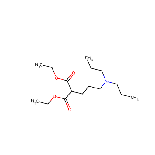 CCCN(CCC)CCCC(C(=O)OCC)C(=O)OCC